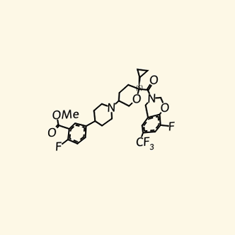 COC(=O)c1cc(C2CCN(C3CC[C@@](C(=O)N4COc5c(F)cc(C(F)(F)F)cc5C4)(C4CC4)OC3)CC2)ccc1F